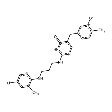 Cc1cc(Cl)cnc1NCCCNc1ncc(Cc2ccc(C)[n+]([O-])c2)c(=O)[nH]1